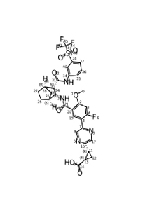 COc1cc(F)c(-c2cnc([C@@H]3C[C@H]3C(=O)O)cn2)cc1C(=O)N[C@@H]1[C@H]2CC[C@H](C2)[C@@H]1C(=O)Nc1cccc(S(=O)(=O)C(F)(F)F)c1